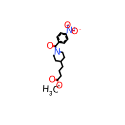 COC(=O)CCCC1CCN(C(=O)c2ccc([N+](=O)[O-])cc2)CC1